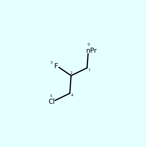 CCCCC(F)CCl